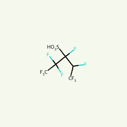 O=S(=O)(O)C(F)(C(F)C(F)(F)F)C(F)(F)C(F)(F)F